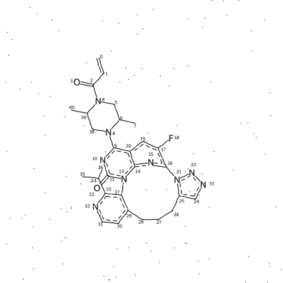 C=CC(=O)N1CC(C)N(c2nc(=O)n3c4nc(c(F)cc24)-n2nncc2CCCc2ccnc(C(C)C)c2-3)CC1C